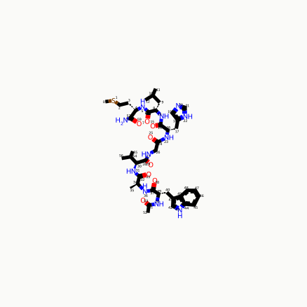 CSCC[C@H](NC(=O)[C@H](CC(C)C)NC(=O)[C@H](Cc1cnc[nH]1)NC(=O)CNC(=O)[C@@H](NC(=O)[C@H](C)NC(=O)[C@H](Cc1c[nH]c2ccccc12)NC(C)=O)C(C)C)C(N)=O